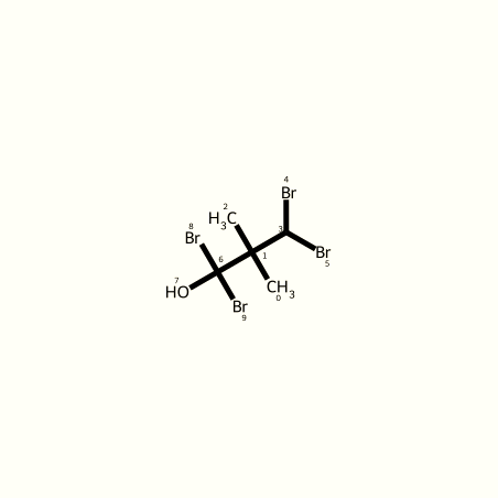 CC(C)(C(Br)Br)C(O)(Br)Br